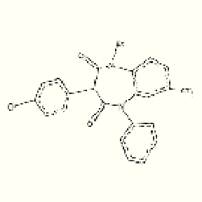 CCN1C(=O)C(c2ccc(Cl)cc2)C(=O)N(c2ccccc2)c2cc(C(F)(F)F)ccc21